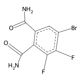 NC(=O)c1cc(Br)c(F)c(F)c1C(N)=O